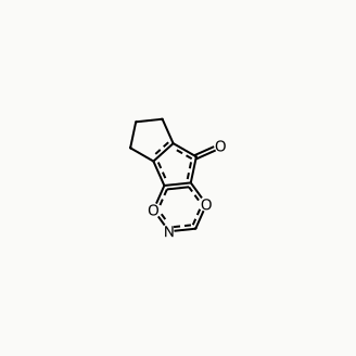 O=c1c2c(c3oncoc1=3)CCC2